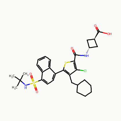 CC(C)(C)NS(=O)(=O)c1ccc(-c2sc(C(=O)N[C@H]3C[C@H](C(=O)O)C3)c(Cl)c2CC2CCCCC2)c2ccccc12